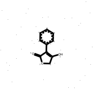 O=C1OCC(O)=C1c1ccccc1